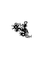 Cc1c(C)c2c(c(C)c1O)C(CC[C@H](NC(=O)[C@@H]1CC(=O)N1)C(=O)C1CCC[C@H]1CO)C(C)(C)O2